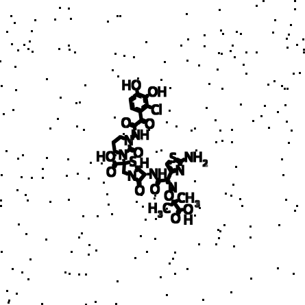 CC(C)(O/N=C(\C(=O)N[C@@H]1C(=O)N2C[C@@](C(=O)O)(N3CCCN(NC(=O)C(=O)c4ccc(O)c(O)c4Cl)C3=O)S[C@H]12)c1csc(N)n1)C(=O)O